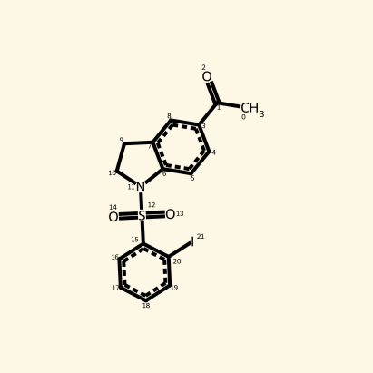 CC(=O)c1ccc2c(c1)CCN2S(=O)(=O)c1ccccc1I